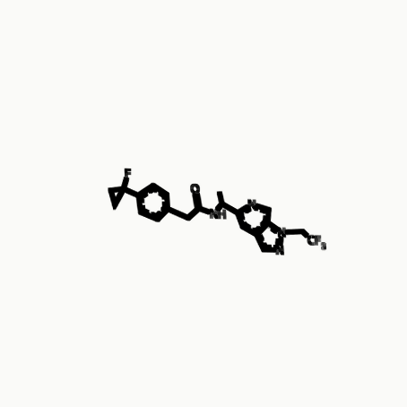 CC(NC(=O)Cc1ccc(C2(F)CC2)cc1)c1cc2cnn(CC(F)(F)F)c2cn1